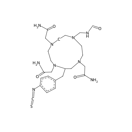 NC(=O)CN1CCN(CNC=O)CCN(CC(N)=O)CC(Cc2ccc(N=C=S)cc2)N(CC(N)=O)CC1